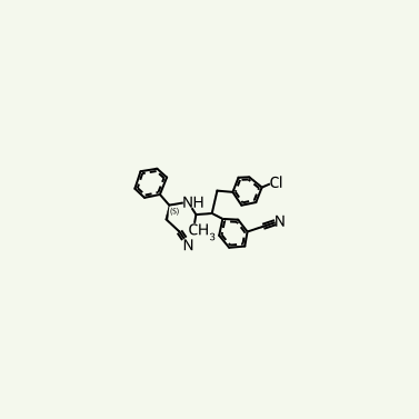 CC(N[C@@H](CC#N)c1ccccc1)C(Cc1ccc(Cl)cc1)c1cccc(C#N)c1